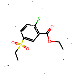 CCOC(=O)c1cc(S(=O)(=O)CC)ccc1Cl